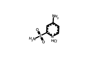 Cl.Nc1ccnc(S(N)(=O)=O)c1